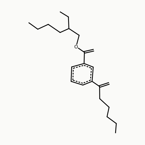 C=C(CCCCC)c1cccc(C(=C)OCC(CC)CCCC)c1